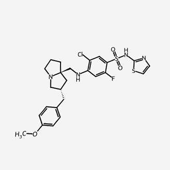 COc1ccc(C[C@@H]2CN3CCC[C@]3(CNc3cc(F)c(S(=O)(=O)Nc4nccs4)cc3Cl)C2)cc1